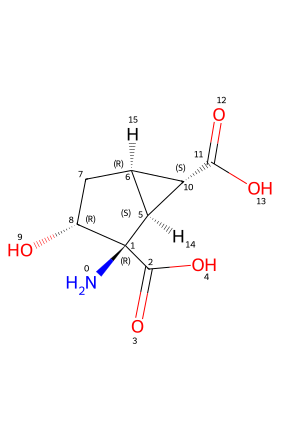 N[C@]1(C(=O)O)[C@H]2[C@@H](C[C@H]1O)[C@@H]2C(=O)O